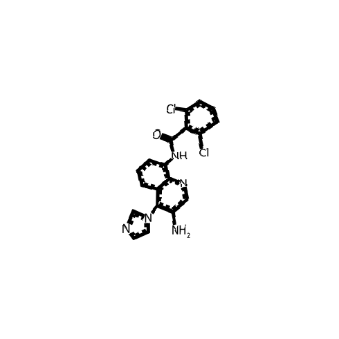 Nc1cnc2c(NC(=O)c3c(Cl)cccc3Cl)cccc2c1-n1ccnc1